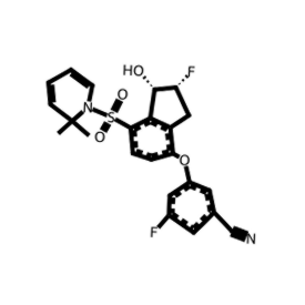 CC1(C)C=CC=CN1S(=O)(=O)c1ccc(Oc2cc(F)cc(C#N)c2)c2c1[C@H](O)[C@H](F)C2